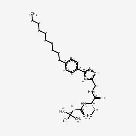 CCCCCCCCCCc1ccc(-c2noc(CNC(=O)[C@H](CO)NC(=O)OC(C)(C)C)n2)cc1